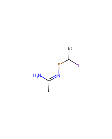 CCC(I)S/N=C(/C)N